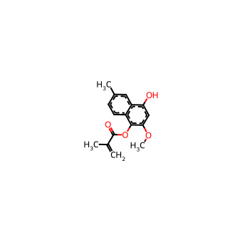 C=C(C)C(=O)Oc1c(OC)cc(O)c2cc(C)ccc12